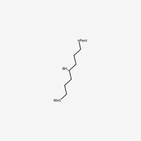 B.CCCCCCCCCCCCSC